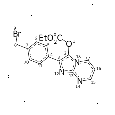 CCOC(=O)Oc1c(-c2ccc(CBr)cc2)nc2ncccn12